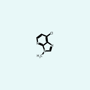 Cn1cnc2c(Cl)ccnc21